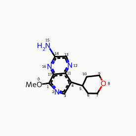 COc1ncc(C2CCOCC2)c2ncc(N)nc12